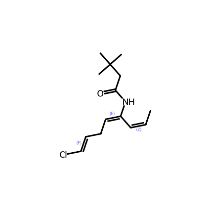 C/C=C\C(=C/C/C=C/Cl)NC(=O)CC(C)(C)C